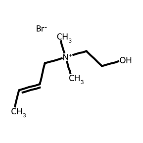 C/C=C/C[N+](C)(C)CCO.[Br-]